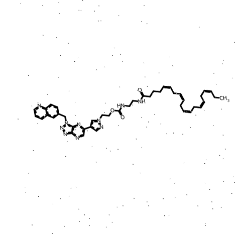 CC/C=C\C/C=C\C/C=C\C/C=C\C/C=C\CCCC(=O)NCCNC(=O)OCCn1cc(-c2cnc3nnn(Cc4ccc5ncccc5c4)c3n2)cn1